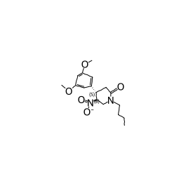 CCCCN1C[C@@H]([N+](=O)[O-])[C@H](c2cc(OC)cc(OC)c2)CC1=O